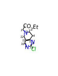 CCOC(=O)CN1CCc2nc(Cl)ncc2C1